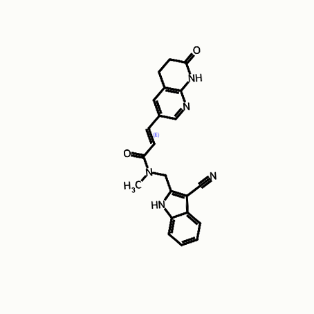 CN(Cc1[nH]c2ccccc2c1C#N)C(=O)/C=C/c1cnc2c(c1)CCC(=O)N2